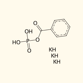 O=C(OP(=O)(O)O)c1ccccc1.[KH].[KH].[KH]